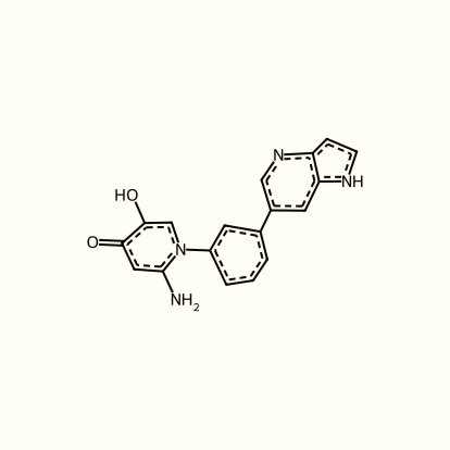 Nc1cc(=O)c(O)cn1-c1cccc(-c2cnc3cc[nH]c3c2)c1